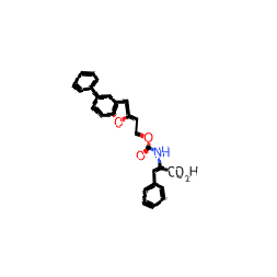 O=C(NC(Cc1ccccc1)C(=O)O)OCCc1cc2cc(-c3ccccc3)ccc2o1